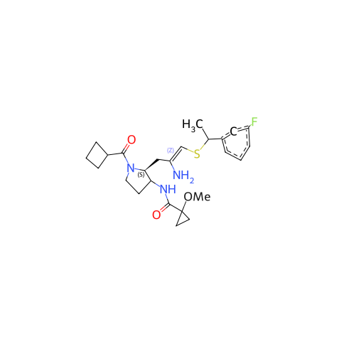 COC1(C(=O)NC2CCN(C(=O)C3CCC3)[C@H]2C/C(N)=C/SC(C)c2cccc(F)c2)CC1